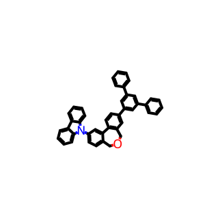 c1ccc(-c2cc(-c3ccccc3)cc(-c3ccc4c(c3)COCc3ccc(-n5c6ccccc6c6ccccc65)cc3-4)c2)cc1